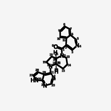 O=C(c1cncc2ccccc12)N1CCC[C@@H]2[C@H]1CCN2c1ncnc2[nH]ccc12